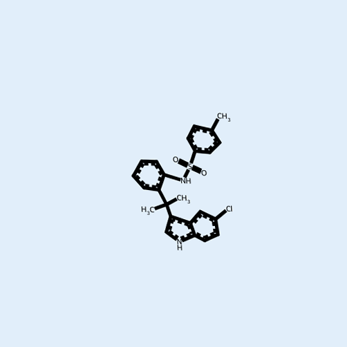 Cc1ccc(S(=O)(=O)Nc2ccccc2C(C)(C)c2c[nH]c3ccc(Cl)cc23)cc1